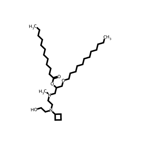 CCCCCCCCCCCCOCC(CN(C)CCN(CCO)C1CCC1)OC(=O)CCCCCCCCCCC